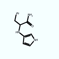 CC(C)CC(Nc1cc[nH]c1)C(N)=O